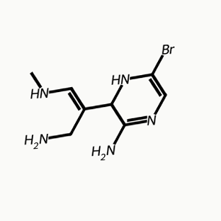 CN/C=C(\CN)C1NC(Br)=CN=C1N